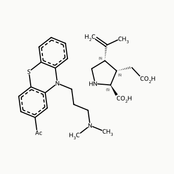 C=C(C)[C@H]1CN[C@H](C(=O)O)[C@H]1CC(=O)O.CC(=O)c1ccc2c(c1)N(CCCN(C)C)c1ccccc1S2